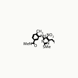 CNC(=O)c1ccc(C)c(Nc2nc(SC)nc(CI)c2[N+](=O)[O-])c1